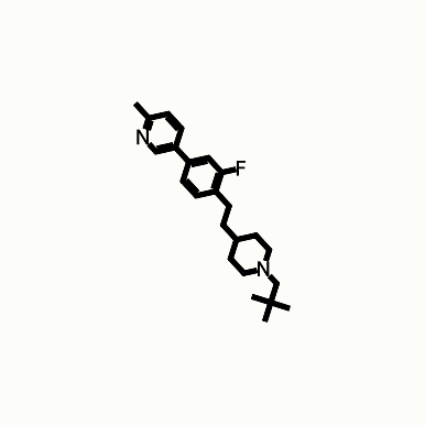 Cc1ccc(-c2ccc(CCC3CCN(CC(C)(C)C)CC3)c(F)c2)cn1